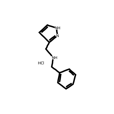 Cl.c1ccc(CNCc2cc[nH]n2)cc1